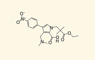 CCOC(=O)C(C)(C)Cn1cc(-c2ccc([N+](=O)[O-])cc2)c(CN(C)C)c1C(=O)O